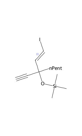 C#CC(/C=C/I)(CCCCC)O[Si](C)(C)C